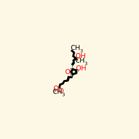 CCCC[C@](C)(O)CC=C[C@H]1C(=O)[C@H](CC=CCCCC(=O)OC)C[C@H]1O